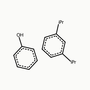 CC(C)c1cccc(C(C)C)c1.Oc1ccccc1